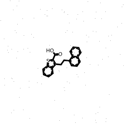 O=C(O)c1sc2ccccc2c1CCc1cccc2ccccc12